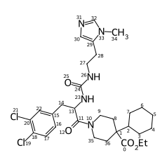 CCOC(=O)C1(C2CCCCC2)CCN(C(=O)C(Cc2ccc(Cl)c(Cl)c2)NC(=O)NCCc2cncn2C)CC1